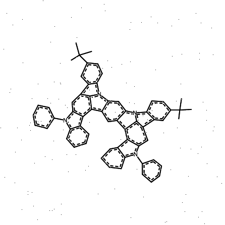 CC(C)(C)c1ccc2c(c1)c1cc3c(c4ccccc4n3-c3ccccc3)c3c4cc5c6c7c8ccccc8n(-c8ccccc8)c7cc7c8cc(C(C)(C)C)ccc8n(c5cc4n2c13)c76